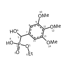 CCOP(=O)(O)C(O)c1cc(OC)c(OC)c(OC)c1